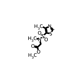 COC(=O)CN(C)S(=O)(=O)c1s[c]nc1C